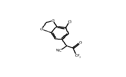 N#CC(C(=O)C(F)(F)F)c1cc(Cl)c2c(c1)OCO2